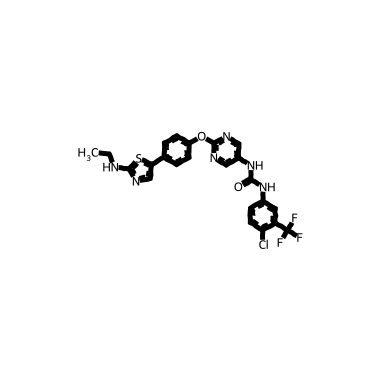 CCNc1ncc(-c2ccc(Oc3ncc(NC(=O)Nc4ccc(Cl)c(C(F)(F)F)c4)cn3)cc2)s1